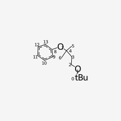 CC(C)(C)OCCC(C)(C)Oc1ccccc1